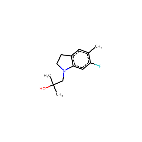 Cc1cc2c(cc1F)N(CC(C)(C)O)CC2